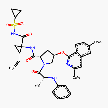 C=C[C@@H]1C[C@]1(NC(=O)[C@@H]1C[C@@H](Oc2nc(OC)cc3cc(OC)ccc23)CN1C(=O)[C@H](Nc1ccccc1)C(C)(C)C)C(=O)NS(=O)(=O)C1CC1